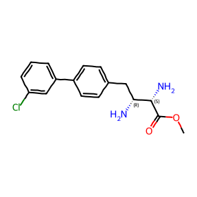 COC(=O)[C@@H](N)[C@H](N)Cc1ccc(-c2cccc(Cl)c2)cc1